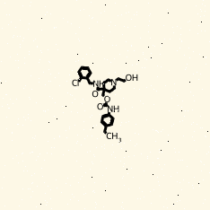 CCc1ccc(NC(=O)OCC2(C(=O)NCc3ccccc3Cl)CCN(CCO)CC2)cc1